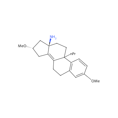 CCCC12CC[C@@]3(N)C[C@@H](OC)CC3=C1CCc1cc(OC)ccc12